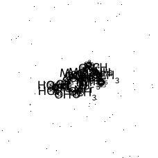 CC[C@H](C)[C@@H]([C@@H](CC(=O)N1CCC[C@H]1[C@H](OC)[C@@H](C)C(=O)N[C@H](C)[C@@H](O)c1ccccc1)OC)N(C)C(=O)C1NC(=O)[C@H](C(C)C)N(C)C(=O)OCc2ccc(O[C@H]3C[C@@H](O)[C@@H](O)[C@@H](CO)O3)c3sc(cc23)C(=O)O[C@H]1C